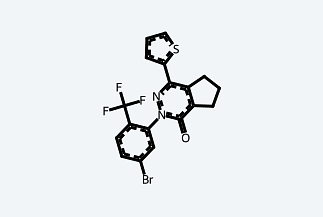 O=c1c2c(c(-c3cccs3)nn1-c1cc(Br)ccc1C(F)(F)F)CCC2